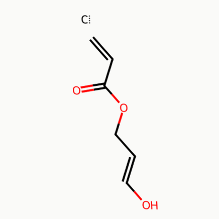 C=CC(=O)OCC=CO.[C]